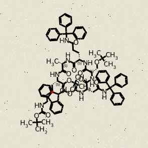 C[C@H](NC(=O)[C@H](CCC(=O)NC(c1ccccc1)(c1ccccc1)c1ccccc1)NC(=O)[C@H](COC(C)(C)C)NC(=O)[C@H](CC(=O)NC(c1ccccc1)(c1ccccc1)c1ccccc1)NC(=O)OCC1c2ccccc2-c2ccccc21)C(=O)N[C@@H](CCCCNC(=O)OC(C)(C)C)C(=O)OC(C)(C)C